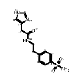 NS(=O)(=O)c1ccc(CCNC(=O)Cc2c[nH]cn2)cc1